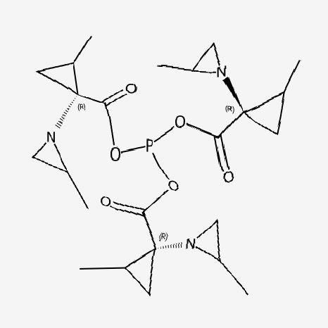 CC1CN1[C@]1(C(=O)OP(OC(=O)[C@@]2(N3CC3C)CC2C)OC(=O)[C@@]2(N3CC3C)CC2C)CC1C